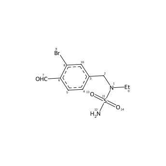 CCN(Cc1ccc(C=O)c(Br)c1)S(N)(=O)=O